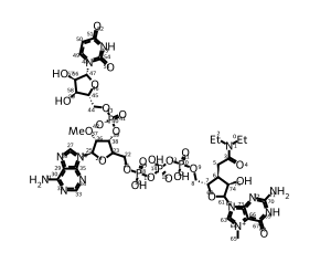 CCN(CC)C(=O)C[C@@H]1[C@@H](COP(=O)(O)OP(=O)(O)OP(=O)(O)OCC2O[C@@H](n3cnc4c(N)ncnc43)[C@H](OC)[C@@H]2OP(=O)([O-])OC[C@H]2O[C@@H](n3ccc(=O)[nH]c3=O)[C@H](O)[C@@H]2O)OC(n2c[n+](C)c3c(=O)[nH]c(N)nc32)[C@@H]1O